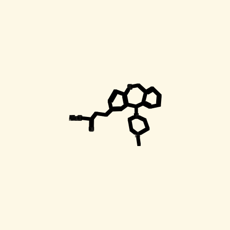 COC(=O)CCc1ccc2c(c1)C(N1CCN(C)CC1)c1ccccc1CO2